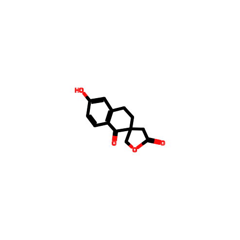 O=C1CC2(CCc3cc(O)ccc3C2=O)CO1